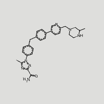 Cc1nc(C(N)=O)nn1-c1ccc(Cc2ccc(-c3ccc(CN4CCNC(C)C4)nc3)cc2)cc1